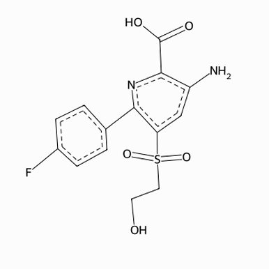 Nc1cc(S(=O)(=O)CCO)c(-c2ccc(F)cc2)nc1C(=O)O